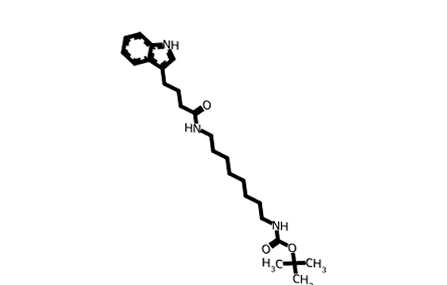 CC(C)(C)OC(=O)NCCCCCCCCNC(=O)CCCc1c[nH]c2ccccc12